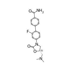 CN(C)C[C@H]1CN(c2ccc(-c3ccc(C(N)=O)cc3)c(F)c2)C(=O)O1